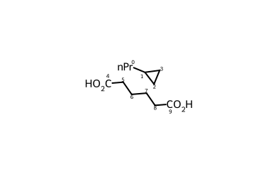 CCCC1CC1.O=C(O)CCCCC(=O)O